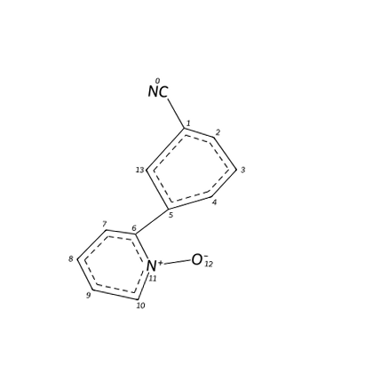 N#Cc1cccc(-c2cccc[n+]2[O-])c1